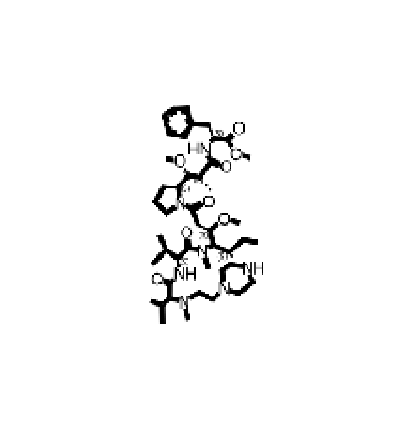 CC[C@H](C)C([C@@H](CC(=O)N1CCC[C@H]1[C@H](OC)[C@@H](C)C(=O)N[C@@H](Cc1ccccc1)C(=O)OC)OC)N(C)C(=O)[C@@H](NC(=O)C(C(C)C)N(C)CCN1CCNCC1)C(C)C